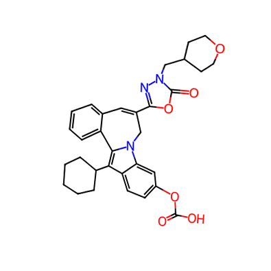 O=C(O)Oc1ccc2c(C3CCCCC3)c3n(c2c1)CC(c1nn(CC2CCOCC2)c(=O)o1)=Cc1ccccc1-3